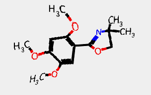 COc1cc(OC)c(C2=NC(C)(C)CO2)cc1OC